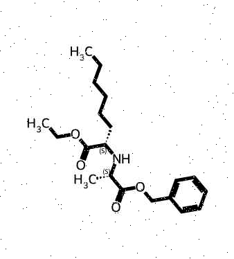 CCCCCC[C@H](N[C@@H](C)C(=O)OCc1ccccc1)C(=O)OCC